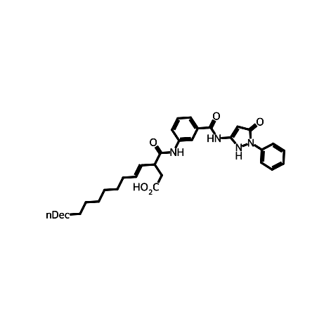 CCCCCCCCCCCCCCCCC=CC(CC(=O)O)C(=O)Nc1cccc(C(=O)Nc2cc(=O)n(-c3ccccc3)[nH]2)c1